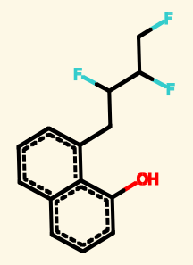 Oc1cccc2cccc(CC(F)C(F)CF)c12